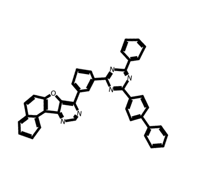 c1ccc(-c2ccc(-c3nc(-c4ccccc4)nc(-c4cccc(-c5ncnc6c5oc5ccc7ccccc7c56)c4)n3)cc2)cc1